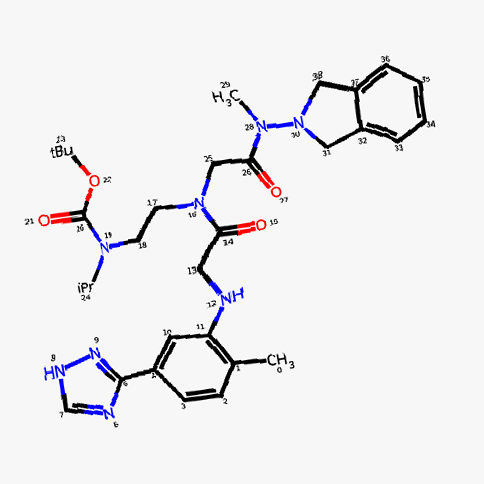 Cc1ccc(-c2nc[nH]n2)cc1NCC(=O)N(CCN(C(=O)OC(C)(C)C)C(C)C)CC(=O)N(C)N1Cc2ccccc2C1